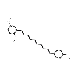 COc1ccc(/C=C/C=C/C=C/C=C/C=C/c2cc(OC)ccc2OC)cc1